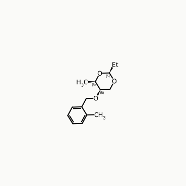 CC[C@H]1OC[C@@H](OCc2ccccc2C)[C@@H](C)O1